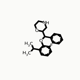 CC(C)c1cccc(F)c1OC(c1ccccc1)C1CNCCO1